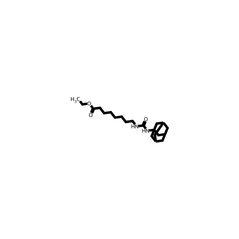 CCOC(=O)CCCCCCCNC(=O)NC12CC3CC(CC(C3)C1)C2